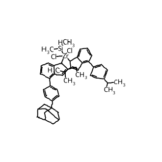 CCC1=Cc2c(-c3ccc(C45CC6CC(CC(C6)C4)C5)cc3)cccc2[CH]1[Zr]([Cl])([Cl])([CH]1C(C(C)C)=Cc2c(-c3ccc(C(C)C)cc3)cccc21)[SiH](C)C